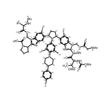 CCCC(=O)N1CCCC1c1nc2cc([C@H]3CCC(c4cc5c(cc4F)N(COC(=O)CNC)C(N(CCC)C(=O)C(NC(=O)OC)C(C)OC)N5)N3c3cc(F)c(N4CCC(c5ccc(F)cc5)CC4)c(F)c3)c(F)cc2n1COC(=O)C(NC(C)(C)C)C(C)C